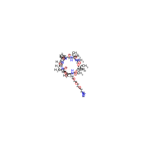 C/C=C(\C)[C@H]1OC(=O)[C@@H](C)NC(=O)[C@H](C(C)CC)NC(=O)CN(C)C(=O)[C@@H](Cc2ccccc2)N(C)C(=O)[C@H](C)N2C(=O)[C@@H](CC2C)OC(=O)/C(C)=C(/CCCOCCOCCOCCCN=[N+]=[N-])NC(=O)O[C@@H](CC)[C@@H]1C